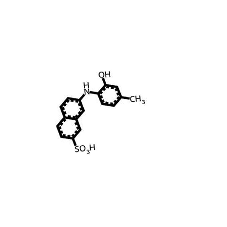 Cc1ccc(Nc2ccc3ccc(S(=O)(=O)O)cc3c2)c(O)c1